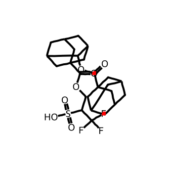 O=C(OCC(C(F)(F)F)S(=O)(=O)O)C12CC3CC(C1)C(OC(=O)C14CC5CC(CC(C5)C1)C4)C(C3)C2